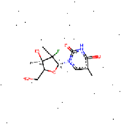 Cc1cn([C@@H]2OC(CO)[C@@](C)(O)C2(C)F)c(=O)[nH]c1=O